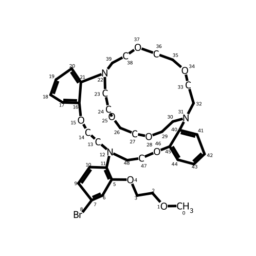 COCCOc1cc(Br)ccc1N1CCOc2ccccc2N2CCOCCOCCN(CCOCCOCC2)c2ccccc2OCC1